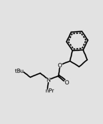 CCCN(CCC(C)(C)C)C(=O)OC1CCc2ccccc21